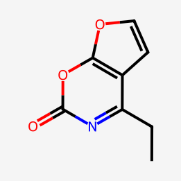 CCc1nc(=O)oc2occc12